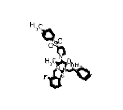 Cc1ccc(S(=O)(=O)C2CCN(c3c(C)n(Cc4c(F)cccc4F)c(=O)n(C[C@@H](N)c4ccccc4)c3=O)C2)cc1